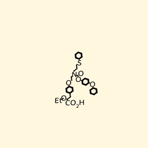 CCOC(Cc1ccc(OCCN(CCCSc2ccccc2)C(=O)Oc2ccc(Oc3ccccc3)cc2)cc1)C(=O)O